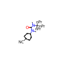 CCCC(CCC)(CCC)N(C)C(=O)N(C)c1ccc(C#N)cc1